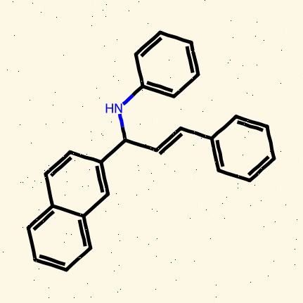 C(=CC(Nc1ccccc1)c1ccc2ccccc2c1)c1ccccc1